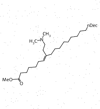 CCCCCCCCCCCCCCCCCCC/C(=C/CCCCCC(=O)OC)CCN(C)C